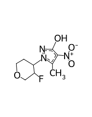 Cc1c([N+](=O)[O-])c(O)nn1C1CCOCC1F